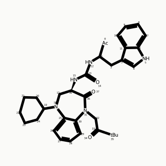 CC(=O)C(Cc1c[nH]c2ccccc12)NC(=O)N[C@@H]1CN(C2CCCCC2)c2ccccc2N(CC(=O)C(C)(C)C)C1=O